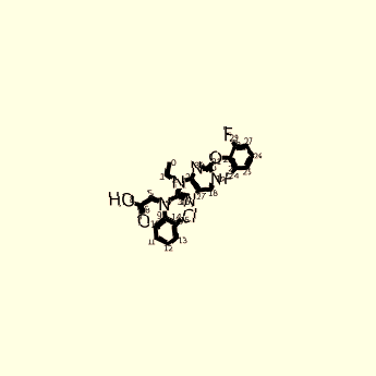 CCn1c(N(CC(=O)O)c2ccccc2Cl)nc2cnc(Oc3c(F)cccc3F)nc21